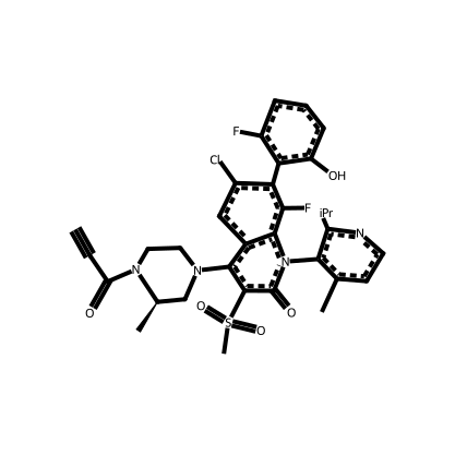 C#CC(=O)N1CCN(c2c(S(C)(=O)=O)c(=O)n(-c3c(C)ccnc3C(C)C)c3c(F)c(-c4c(O)cccc4F)c(Cl)cc23)C[C@H]1C